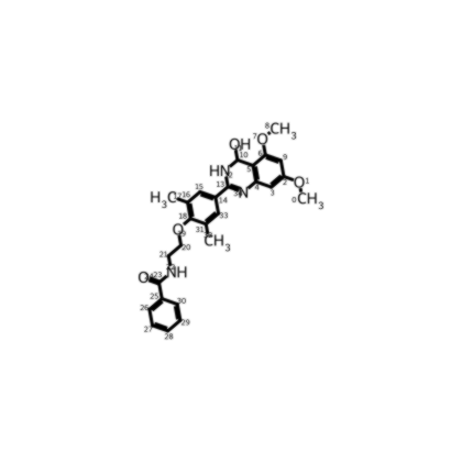 COc1cc2c(c(OC)c1)C(O)NC(c1cc(C)c(OCCNC(=O)c3ccccc3)c(C)c1)=N2